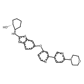 O[C@@H]1CCCC[C@H]1Nc1nc2ccc(Oc3ccnc(-c4ccc(N5CCOCC5)nc4)c3)cc2s1